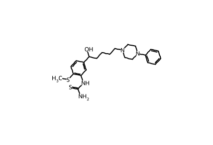 CSc1ccc(C(O)CCCCN2CCN(c3ccccc3)CC2)cc1NC(N)=S